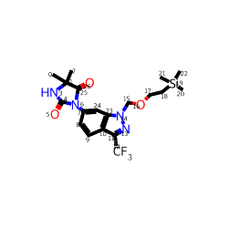 CC1(C)NC(=O)N(c2ccc3c(C(F)(F)F)nn(COCC[Si](C)(C)C)c3c2)C1=O